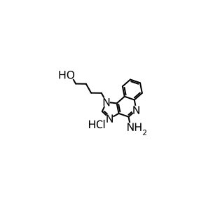 Cl.Nc1nc2ccccc2c2c1ncn2CCCCO